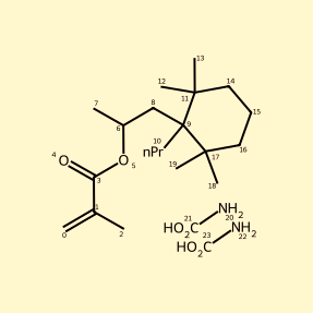 C=C(C)C(=O)OC(C)CC1(CCC)C(C)(C)CCCC1(C)C.NC(=O)O.NC(=O)O